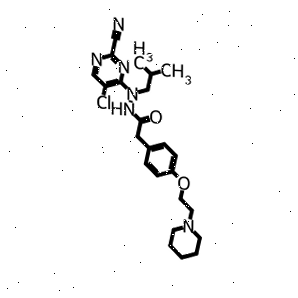 CC(C)CN(NC(=O)Cc1ccc(OCCN2CCCCC2)cc1)c1nc(C#N)ncc1Cl